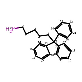 PCCCCCC(c1ccccc1)(c1ccccc1)c1ccccc1